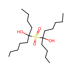 CCCCCC(O)(CCCC)S(=O)(=O)C(O)(CCCC)CCCCC